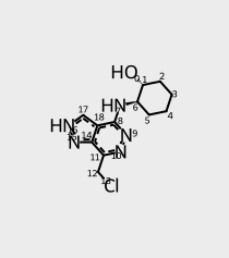 O[C@@H]1CCCC[C@H]1Nc1nnc(CCl)c2n[nH]cc12